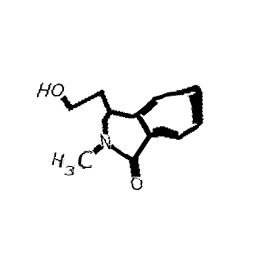 CN1C(=O)c2ccccc2C1CCO